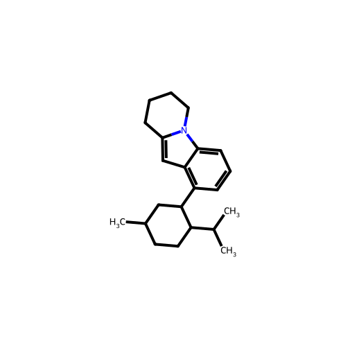 CC1CCC(C(C)C)C(c2cccc3c2cc2n3CCCC2)C1